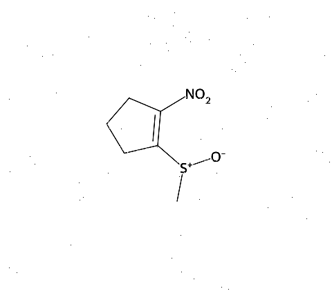 C[S+]([O-])C1=C([N+](=O)[O-])CCC1